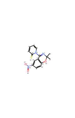 CC1(C)N=C(n2ccccc2=S)c2cc([N+](=O)[O-])ccc2O1